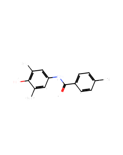 CC(C)(C)c1cc(NC(=O)c2ccc(C#N)cc2)cc(C(C)(C)C)c1O